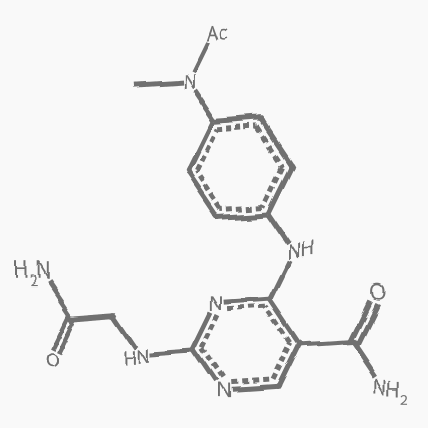 CC(=O)N(C)c1ccc(Nc2nc(NCC(N)=O)ncc2C(N)=O)cc1